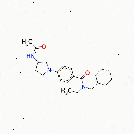 CCN(CC1CCCCC1)C(=O)c1ccc(N2CCC(NC(C)=O)C2)cc1